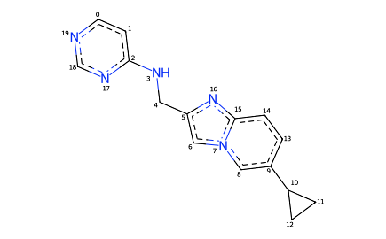 c1cc(NCc2cn3cc(C4CC4)ccc3n2)ncn1